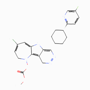 CC(C)(C)OC(=O)ON1CC=C(Cl)C=c2[nH]c3c(c21)CN=NC=3[C@H]1CC[C@H](c2ccc(F)cn2)CC1